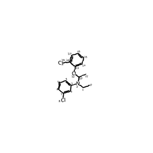 CCN(c1cccc(Cl)c1)C(C)Oc1ccccc1Cl